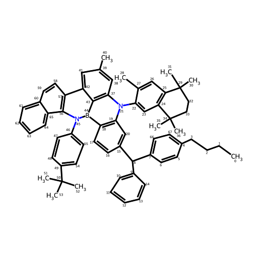 CCCCc1ccc(C(c2ccccc2)c2ccc3c(c2)N(c2cc4c(cc2C)C(C)(C)CCC4(C)C)c2cc(C)cc4c2B3N(c2ccc(C(C)(C)C)cc2)c2c-4ccc3ccccc23)cc1